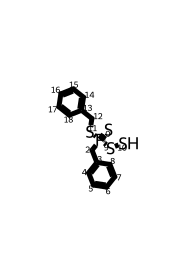 S=P(Cc1ccccc1)(SS)SCc1ccccc1